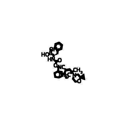 CC(C)(C=C(C#N)C(=O)N1C2CCC1(COC(=O)N[C@@H](Cc1ccccc1)B(O)O)CC2)N1CCOC2(CC2)C1